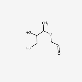 CC(OCC=O)C(O)CO